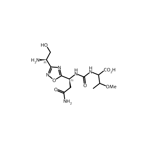 COC(C)C(NC(=O)N[C@@H](CC(N)=O)c1nc([C@@H](N)CO)no1)C(=O)O